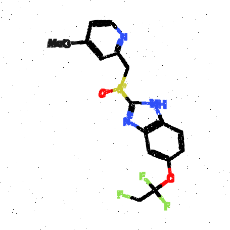 COc1ccnc(C[S+]([O-])c2nc3cc(OC(F)(F)CF)ccc3[nH]2)c1